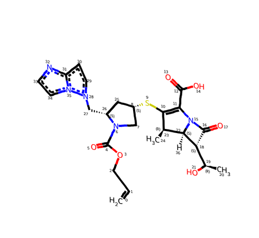 C=CCOC(=O)N1C[C@@H](SC2=C(C(=O)O)N3C(=O)[C@H]([C@@H](C)O)[C@H]3[C@H]2C)C[C@H]1Cn1ccc2nccn21